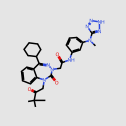 CN(c1cccc(NC(=O)CN2N=C(C3CCCCC3)c3ccccc3N(CC(=O)C(C)(C)C)C2=O)c1)c1nn[nH]n1